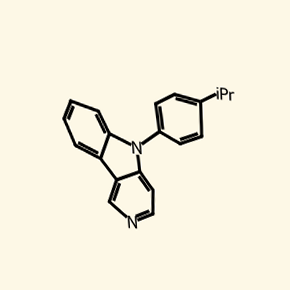 CC(C)c1ccc(-n2c3ccccc3c3cnccc32)cc1